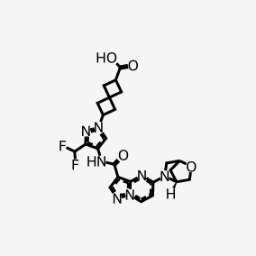 O=C(Nc1cn(C2CC3(CC(C(=O)O)C3)C2)nc1C(F)F)c1cnn2ccc(N3CC4C[C@@H]3CO4)nc12